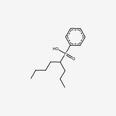 CCCCC(CCC)P(=O)(O)c1ccccc1